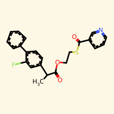 CC(C(=O)OCCSC(=O)c1cccnc1)c1ccc(-c2ccccc2)c(F)c1